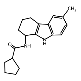 Cc1ccc2[nH]c3c(c2c1)CCCC3NC(=O)C1CCCC1